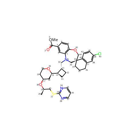 COC(=O)c1ccc2c(c1)N(C[C@@H]1CC[C@H]1[C@H]1C[C@@H](O[C@H](C)CSc3ncccn3)CCO1)C[C@@]1(CCCc3cc(Cl)ccc31)CO2